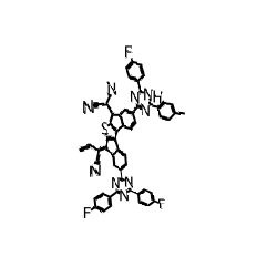 C=C/C(C#N)=C1/c2cc(-c3nc(-c4ccc(F)cc4)nc(-c4ccc(F)cc4)n3)ccc2-c2c1sc1c2-c2ccc(C3=NC(c4ccc(C)cc4)NC(c4ccc(F)cc4)=N3)cc2C1=C(C#N)C#N